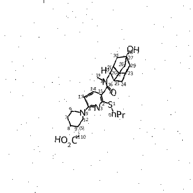 CCCSc1nc(N2CCC[C@@H](CC(=O)O)C2)ccc1C(=O)N(C)[C@H]1C2CC3CC1C[C@@](O)(C3)C2